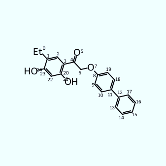 CCc1cc(C(=O)COc2ccc(-c3ccccc3)cc2)c(O)cc1O